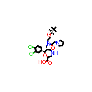 CC(C)(C)[Si](C)(C)OCCN(C[C@H]1CNCC(C(=O)O)O[C@H]1c1ccc(Cl)c(Cl)c1)C(=O)CN1CCCC1